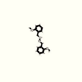 COc1ccccc1COOCc1ccccc1OC